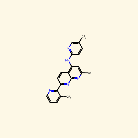 CC(=O)c1cc(Nc2ccc(C(F)(F)F)cn2)c2ccc(-c3ncccc3C(F)(F)F)nc2n1